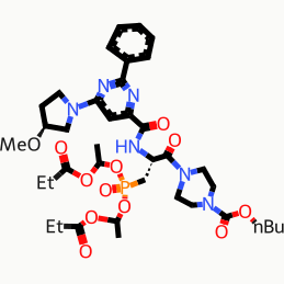 CCCCOC(=O)N1CCN(C(=O)[C@H](CP(=O)(OC(C)OC(=O)CC)OC(C)OC(=O)CC)NC(=O)c2cc(N3CC[C@H](OC)C3)nc(-c3ccccc3)n2)CC1